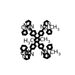 Cc1ccccc1-n1c(-c2ccc(-c3c(C)c(-c4ccc(-c5nc6cccnc6n5-c5ccccc5C)cc4)c(-c4ccc(-c5nc6cccnc6n5-c5ccccc5C)cc4)c(C)c3-c3ccc(-c4nc5cccnc5n4-c4ccccc4C)cc3)cc2)nc2cccnc21